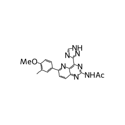 COc1ccc(-c2ccc3nc(NC(C)=O)nc(-c4nc[nH]n4)c3n2)cc1C